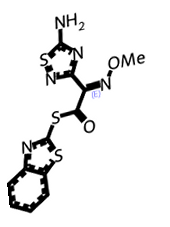 CO/N=C(/C(=O)Sc1nc2ccccc2s1)c1nsc(N)n1